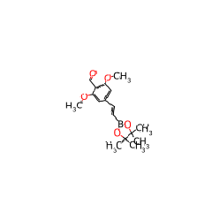 COc1cc(/C=C/B2OC(C)(C)C(C)(C)O2)cc(OC)c1C=O